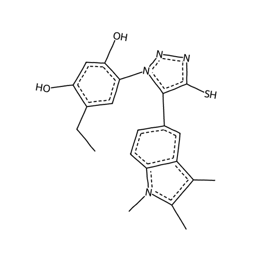 CCc1cc(-n2nnc(S)c2-c2ccc3c(c2)c(C)c(C)n3C)c(O)cc1O